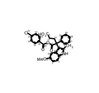 COc1ccc2[nH]c(C)c(C(CCC(=O)O)(C(=O)OC(=O)c3ccc(Cl)cc3)c3ccccc3)c2c1